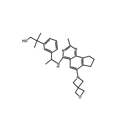 Cc1nc(NC(C)c2cccc(C(C)(C)CO)c2)c2cc(N3CC4(COC4)C3)c3c(c2n1)CCC3